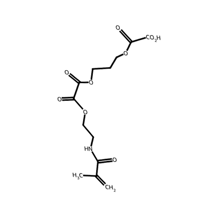 C=C(C)C(=O)NCCOC(=O)C(=O)OCCCOC(=O)C(=O)O